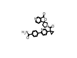 NC(=O)c1ccc(-c2ccc(C3(C(=O)N4CCC5(C4)OC(=O)c4cnccc45)CC3)cn2)cc1